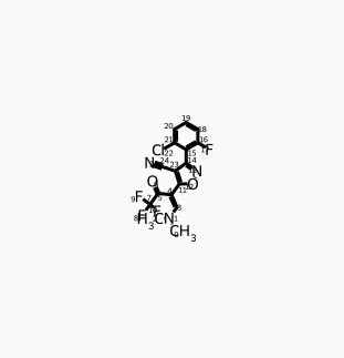 CN(C)/C=C(\C(=O)C(F)(F)F)c1onc(-c2c(F)cccc2Cl)c1C#N